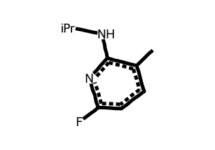 Cc1ccc(F)nc1NC(C)C